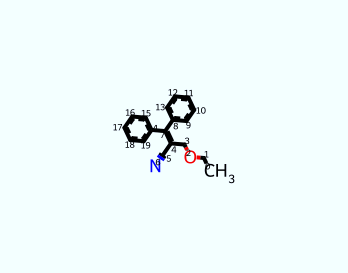 CCOCC(C#N)=C(c1ccccc1)c1ccccc1